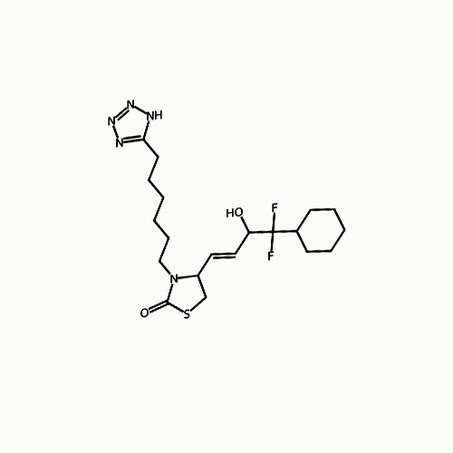 O=C1SCC(C=CC(O)C(F)(F)C2CCCCC2)N1CCCCCCc1nnn[nH]1